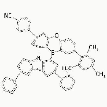 Cc1cc(C)c(-c2ccc3c(c2)B2c4c(cc(-c5ccc(C#N)cc5)cc4-n4c5ccc(-c6ccccc6)cc5c5cc(-c6ccccc6)cc2c54)O3)c(C)c1